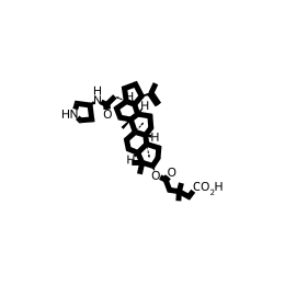 C=C(C)[C@@H]1CC[C@]2(CC(=O)N[C@H]3CCNC3)CC[C@]3(C)[C@H](CC[C@@H]4[C@@]5(C)CC[C@H](OC(=O)CC(C)(C)CC(=O)O)C(C)(C)[C@@H]5CC[C@]43C)[C@@H]12